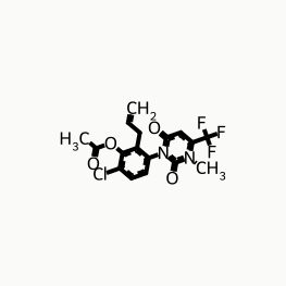 C=CCc1c(-n2c(=O)cc(C(F)(F)F)n(C)c2=O)ccc(Cl)c1OC(C)=O